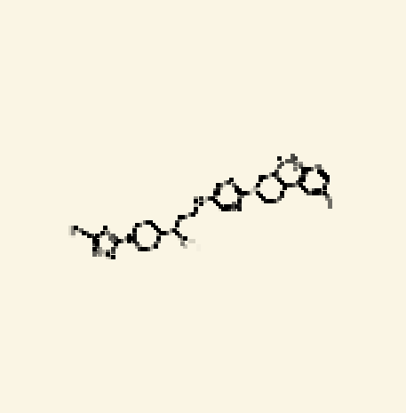 CC(C)c1noc(N2CCC(C(C)CCOc3cnc(N4CC[C@H](c5cc(F)ccc5F)[C@@H](N)C4)nc3)CC2)n1